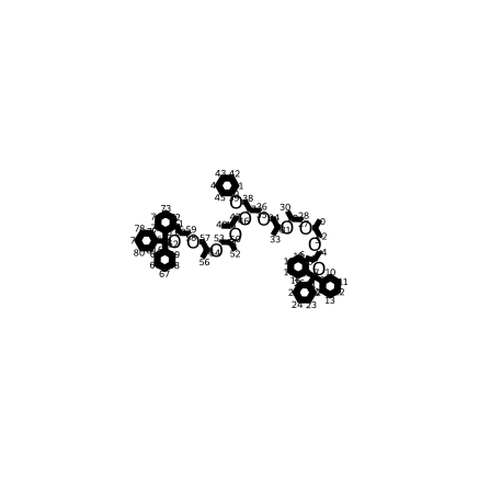 CC(COCC(C)OC(c1ccccc1)(c1ccccc1)c1ccccc1)OCC(C)OC(C)COCC(COc1ccccc1)OCC(C)OC(C)COC(C)COCC(C)OC(c1ccccc1)(c1ccccc1)c1ccccc1